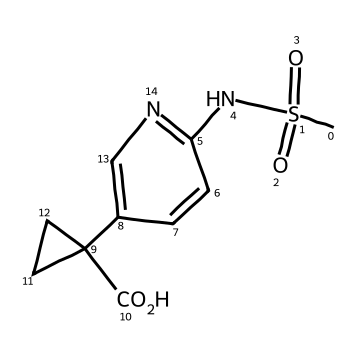 CS(=O)(=O)Nc1ccc(C2(C(=O)O)CC2)cn1